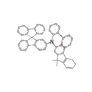 CC1(C)C2=C(CCC=C2)c2ccc(N(c3ccc4c(c3)C3(c5ccccc5-c5ccccc53)c3ccccc3-4)c3ccccc3-c3ccccc3)cc21